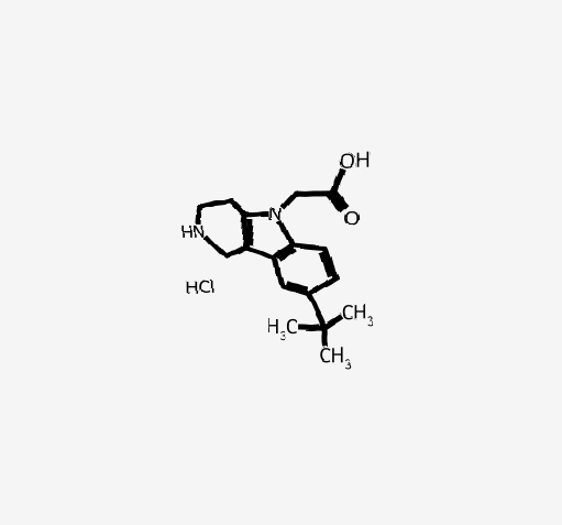 CC(C)(C)c1ccc2c(c1)c1c(n2CC(=O)O)CCNC1.Cl